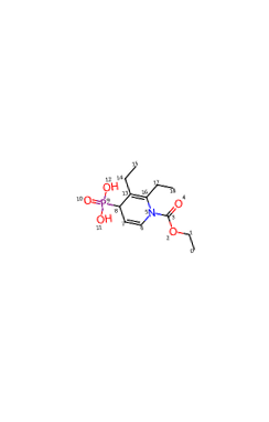 CCOC(=O)N1C=CC(P(=O)(O)O)C(CC)=C1CC